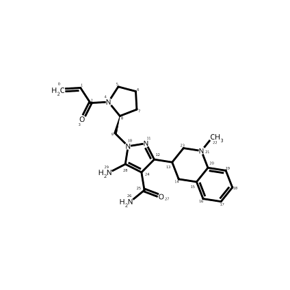 C=CC(=O)N1CCC[C@H]1Cn1nc(C2Cc3ccccc3N(C)C2)c(C(N)=O)c1N